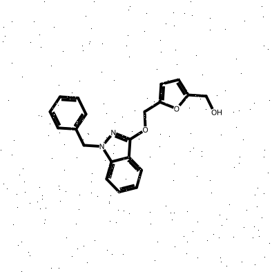 OCc1ccc(COc2nn(Cc3ccccc3)c3ccccc23)o1